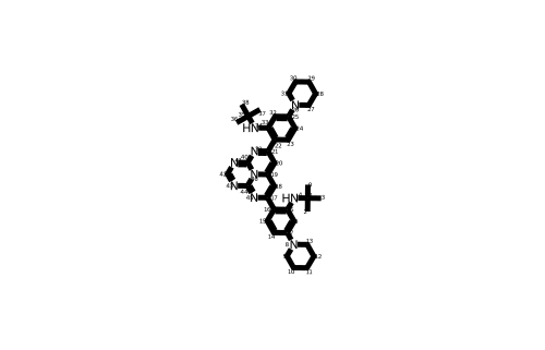 CC(C)(C)Nc1cc(N2CCCCC2)ccc1C1=CC2=CC(c3ccc(N4CCCCC4)cc3NC(C)(C)C)=NC3=NC=NC(=N1)N23